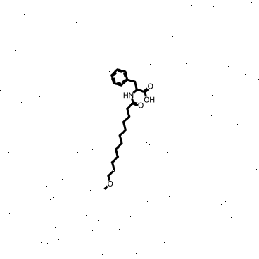 COCCCCCCCCCCCC(=O)NC(Cc1ccccc1)C(=O)O